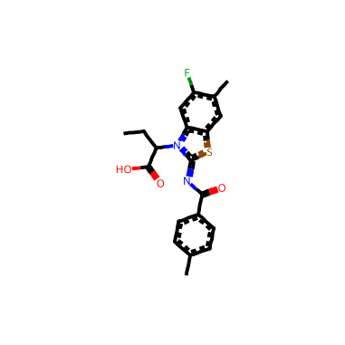 CCC(C(=O)O)n1/c(=N/C(=O)c2ccc(C)cc2)sc2cc(C)c(F)cc21